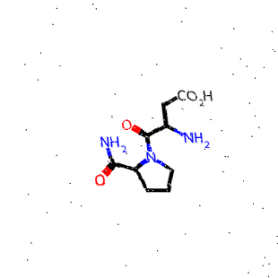 NC(=O)C1CCCN1C(=O)C(N)CC(=O)O